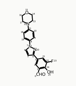 O=Cc1cc(-c2ccn(-c3ccc(N4CCOCC4)cc3)n2)cc(F)c1O